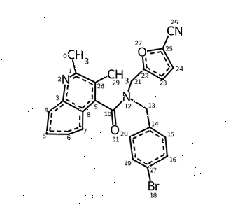 Cc1nc2ccccc2c(C(=O)N(Cc2ccc(Br)cc2)Cc2ccc(C#N)o2)c1C